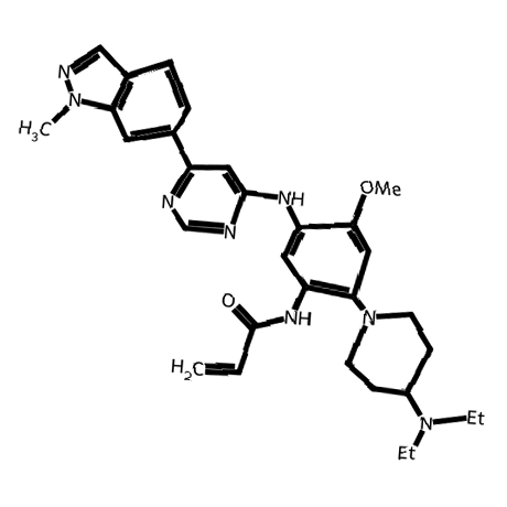 C=CC(=O)Nc1cc(Nc2cc(-c3ccc4cnn(C)c4c3)ncn2)c(OC)cc1N1CCC(N(CC)CC)CC1